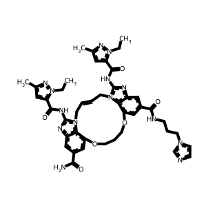 CCn1nc(C)cc1C(=O)Nc1nc2cc(C(N)=O)cc3c2n1C/C=C/Cn1c(NC(=O)c2cc(C)nn2CC)nc2cc(C(=O)NCCCn4ccnc4)cc(c21)OCCCO3